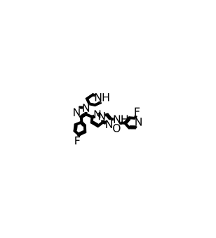 O=C(Nc1cn2nc(-c3c(-c4ccc(F)cc4)ncn3C3CCNCC3)ccc2n1)c1ccnc(F)c1